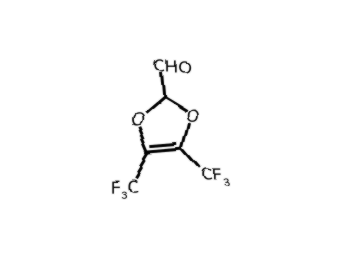 O=CC1OC(C(F)(F)F)=C(C(F)(F)F)O1